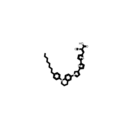 [C-]#[N+]/C(=C\c1ccc(-c2ccc(C3=CC=S(c4ccc5c(c4)CCCN5c4ccc(CCCCCCCC)cc4)C3)s2)s1)C(=O)O